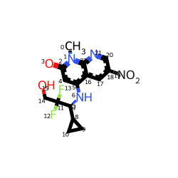 Cn1c(=O)cc(N[C@@H](C2CC2)C(F)(F)CO)c2cc([N+](=O)[O-])cnc21